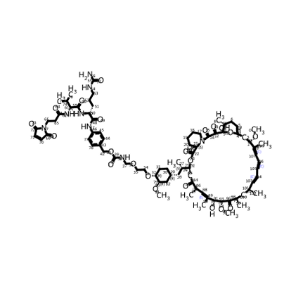 CO[C@H]1C[C@@H]2CC[C@@H](C)[C@@](O)(O2)C(=O)C(=O)N2CCCC[C@H]2C(=O)O[C@H]([C@@H](C)C[C@H]2CC[C@@H](OCCOCNC(=O)OCc3ccc(NC(=O)[C@@H](CCCNC(N)=O)NC(=O)[C@H](NC(=O)CCN4C(=O)C=CC4=O)C(C)C)cc3)[C@H](OC)C2)CC(=O)[C@H](C)/C=C(\C)[C@@H](O)[C@@H](OC)C(=O)[C@H](C)C[C@H](C)/C=C/C=C/C=C/1C